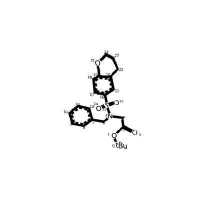 CC(C)(C)OC(=O)CN(Cc1ccccc1)S(=O)(=O)c1ccc2c(c1)CCCO2